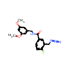 COc1cc(CNC(=O)c2ccc(F)c(CN=[N+]=[N-])c2)cc(OC)c1